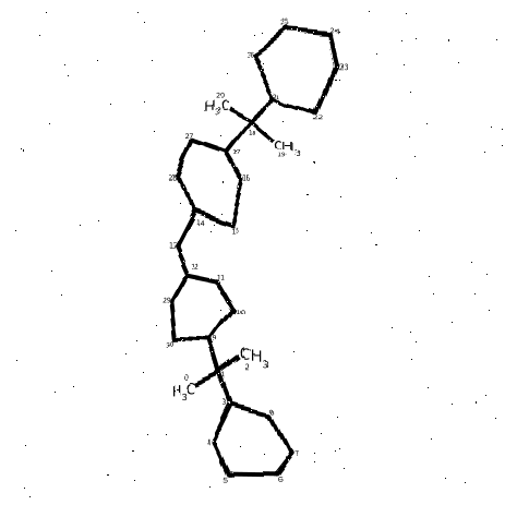 CC(C)(C1CCCCC1)C1CCC(CC2CCC(C(C)(C)C3CCCCC3)CC2)CC1